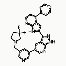 FC1(F)CCN(Cc2cncc(-c3cnc4[nH]nc(-c5cc6c(-c7ccncc7)ccnc6[nH]5)c4c3)c2)C1